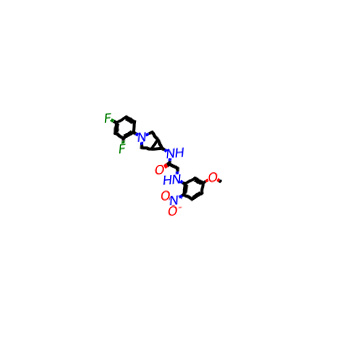 COc1ccc([N+](=O)[O-])c(NCC(=O)NC2C3CN(c4ccc(F)cc4F)CC32)c1